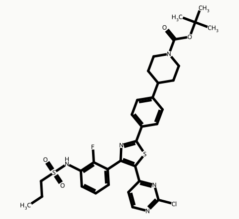 CCCS(=O)(=O)Nc1cccc(-c2nc(-c3ccc(C4CCN(C(=O)OC(C)(C)C)CC4)cc3)sc2-c2ccnc(Cl)n2)c1F